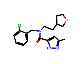 Cc1cc(C(=O)N(CCC2CCOC2)Cc2ccccc2Cl)[nH]n1